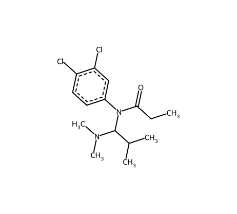 CCC(=O)N(c1ccc(Cl)c(Cl)c1)C(C(C)C)N(C)C